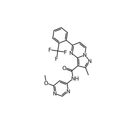 COc1cc(NC(=O)c2c(C)nn3ccc(-c4ccccc4C(F)(F)F)nc23)ncn1